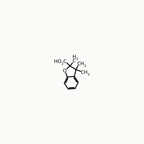 CC1(C(=O)O)Oc2ccccc2C1(C)C